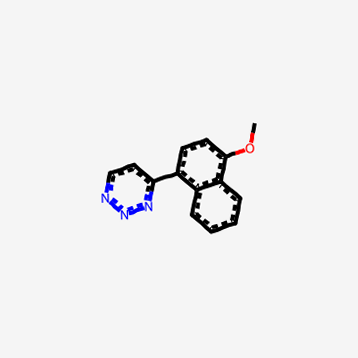 COc1ccc(-c2ccnnn2)c2ccccc12